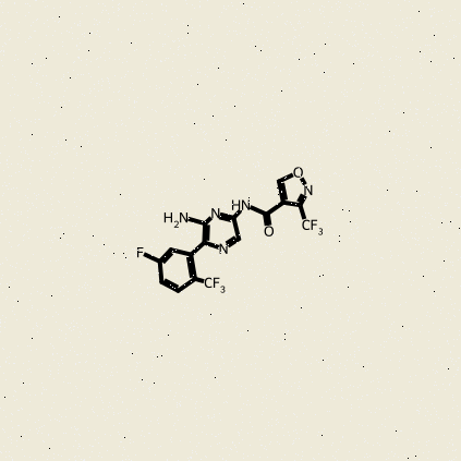 Nc1nc(NC(=O)c2conc2C(F)(F)F)cnc1-c1cc(F)ccc1C(F)(F)F